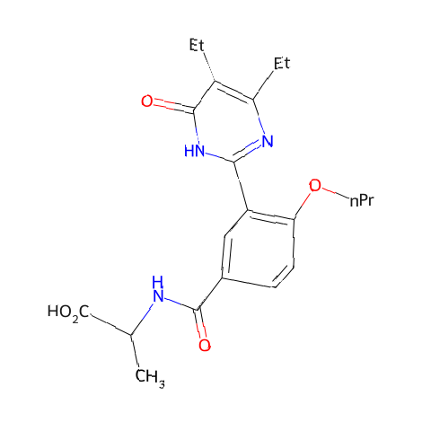 CCCOc1ccc(C(=O)NC(C)C(=O)O)cc1-c1nc(CC)c(CC)c(=O)[nH]1